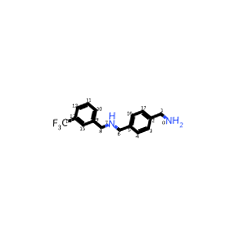 NCc1ccc(CNCc2cccc(C(F)(F)F)c2)cc1